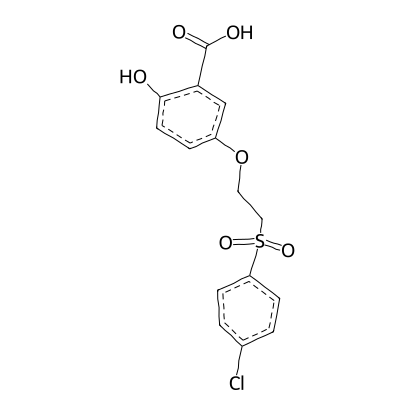 O=C(O)c1cc(OCCS(=O)(=O)c2ccc(Cl)cc2)ccc1O